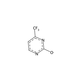 [O]c1nccc(C(F)(F)F)n1